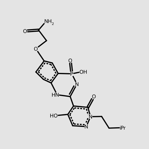 CC(C)CCn1ncc(O)c(C2=NP(=O)(O)c3cc(OCC(N)=O)ccc3N2)c1=O